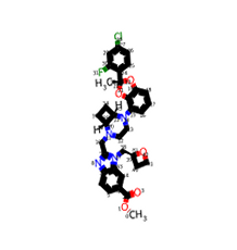 COC(=O)c1ccc2nc(CN3CCN(c4cccc5c4O[C@](C)(c4ccc(Cl)cc4F)O5)[C@@H]4CC[C@H]43)n(C[C@@H]3CCO3)c2c1